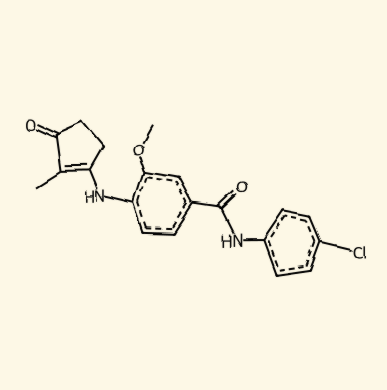 COc1cc(C(=O)Nc2ccc(Cl)cc2)ccc1NC1=C(C)C(=O)CC1